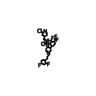 O=C(NCc1ccnc(Cl)c1)n1c2c(c3ccc(C(F)(F)F)cc31)CN(C/C=C/c1ccc(F)cc1F)CC2